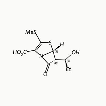 CC[C@H](O)[C@@H]1C(=O)N2C(C(=O)O)=C(SC)S[C@H]12